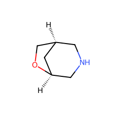 C1NC[C@@H]2C[C@H]1CO2